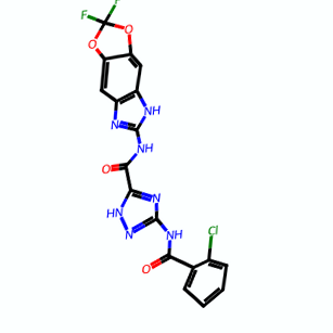 O=C(Nc1nc2cc3c(cc2[nH]1)OC(F)(F)O3)c1nc(NC(=O)c2ccccc2Cl)n[nH]1